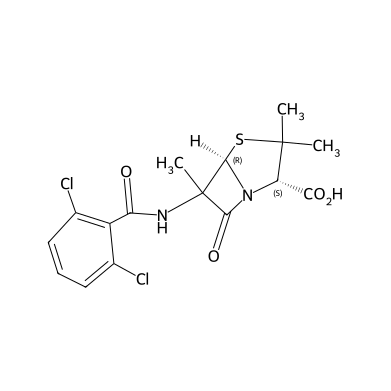 CC1(C)S[C@H]2N(C(=O)C2(C)NC(=O)c2c(Cl)cccc2Cl)[C@H]1C(=O)O